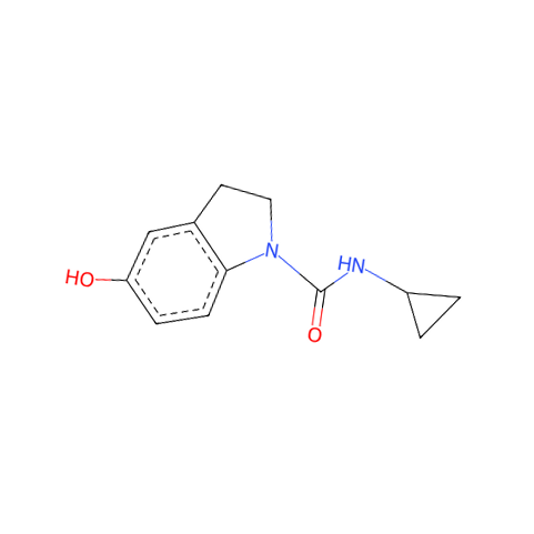 O=C(NC1CC1)N1CCc2cc(O)ccc21